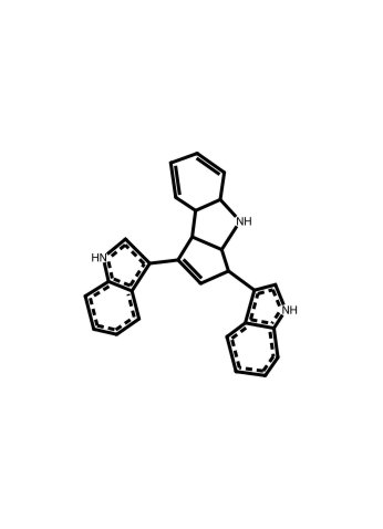 C1=CC2NC3C(c4c[nH]c5ccccc45)C=C(c4c[nH]c5ccccc45)C3C2C=C1